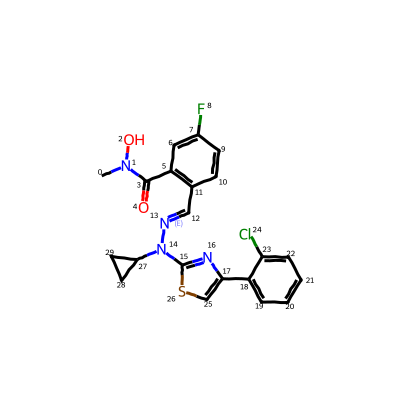 CN(O)C(=O)c1cc(F)ccc1/C=N/N(c1nc(-c2ccccc2Cl)cs1)C1CC1